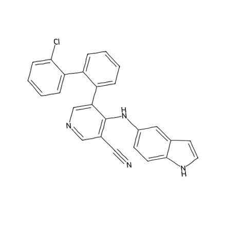 N#Cc1cncc(-c2ccccc2-c2ccccc2Cl)c1Nc1ccc2[nH]ccc2c1